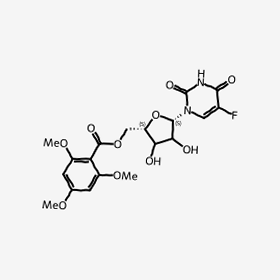 COc1cc(OC)c(C(=O)OC[C@@H]2O[C@H](n3cc(F)c(=O)[nH]c3=O)C(O)C2O)c(OC)c1